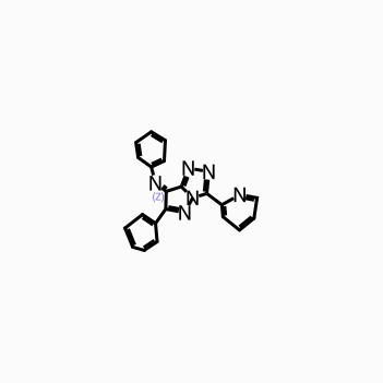 c1ccc(/N=C2/C(c3ccccc3)=Nn3c2nnc3-c2ccccn2)cc1